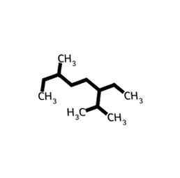 CC[C](C)CCC(CC)C(C)C